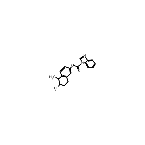 CC1CCc2cc(OC(=S)n3cnc4ccccc43)ccc2C1C